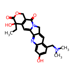 CCC1(O)C(=O)OCc2c1cc1n(c2=O)Cc2cc3c(CN(C)C)cc(O)cc3nc2-1